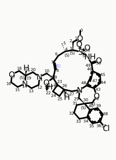 COC[C@@H]1[C@@H](C)C/C=C/[C@@](CN2CCN3CCOC[C@@H]3C2)(OC)[C@@H]2CC[C@H]2CN2C[C@@]3(CCCc4cc(Cl)ccc43)COc3ccc(cc32)C(=O)NS1(=O)=O